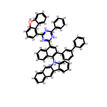 c1ccc(-c2cccc(-c3cc(-c4nc(-c5ccccc5)nc(-c5cccc6oc7ccccc7c56)n4)c4ccccc4c3-n3c4ccccc4c4cc5ccccc5cc43)c2)cc1